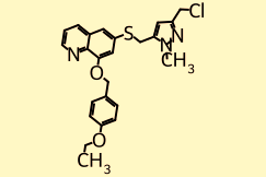 CCOc1ccc(COc2cc(SCc3cc(CCl)nn3C)cc3cccnc23)cc1